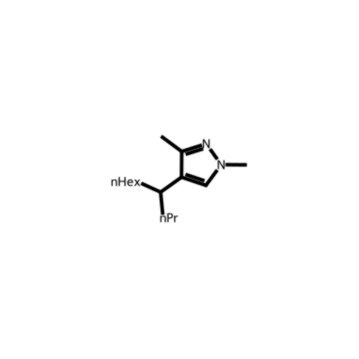 CCCCCCC(CCC)c1cn(C)nc1C